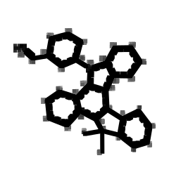 CC1(C)c2ccccc2-c2c1c1ccccc1c1c2c2ccccc2n1-c1cccc(C=N)c1